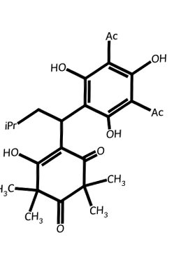 CC(=O)c1c(O)c(C(C)=O)c(O)c(C(CC(C)C)C2=C(O)C(C)(C)C(=O)C(C)(C)C2=O)c1O